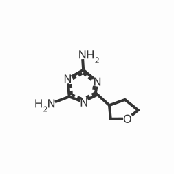 Nc1nc(N)nc(C2CCOC2)n1